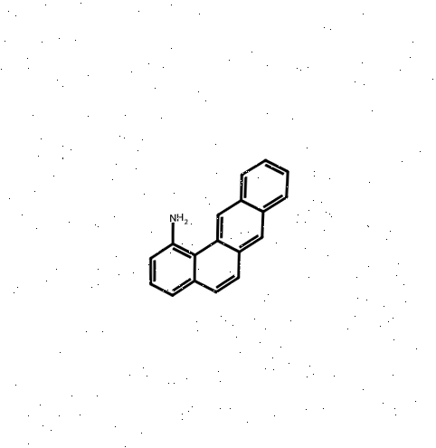 Nc1cccc2ccc3cc4ccccc4cc3c12